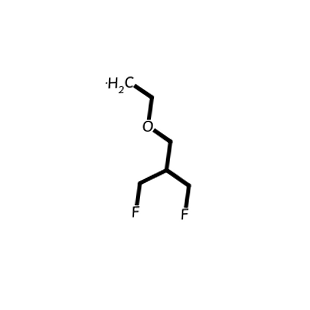 [CH2]COCC(CF)CF